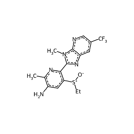 CC[S+]([O-])c1cc(N)c(C)nc1-c1nc2cc(C(F)(F)F)cnc2n1C